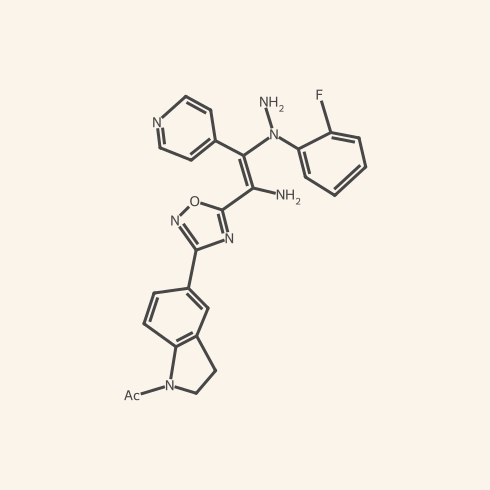 CC(=O)N1CCc2cc(-c3noc(/C(N)=C(\c4ccncc4)N(N)c4ccccc4F)n3)ccc21